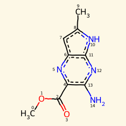 COC(=O)c1nc2cc(C)[nH]c2nc1N